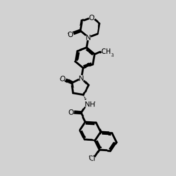 Cc1cc(N2C[C@H](NC(=O)c3ccc4c(Cl)cccc4c3)CC2=O)ccc1N1CCOCC1=O